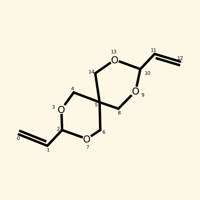 C=CC1OCC2(CO1)COC(C=C)OC2